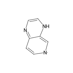 C1=CC2=NC=CNC2=C[N]1